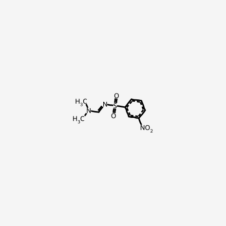 CN(C)C=NS(=O)(=O)c1cccc([N+](=O)[O-])c1